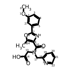 COc1cccc(-c2nc(C(=O)N(CC(=O)O)Cc3ccccn3)c(C)o2)c1